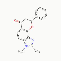 Cc1nc2c3c(ccc2n1C)C(=O)CC(c1ccccc1)O3